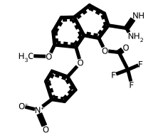 COc1ccc2ccc(C(=N)N)c(OC(=O)C(F)(F)F)c2c1Oc1ccc([N+](=O)[O-])cc1